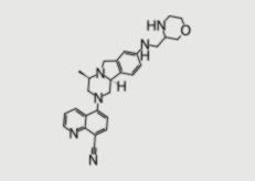 C[C@@H]1CN(c2ccc(C#N)c3ncccc23)C[C@@H]2c3ccc(NCC4COCCN4)cc3CN12